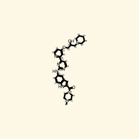 CN1CCN(C(=O)c2cc3cc(Nc4nccc(-c5cc(OCC(O)CN6CCCCC6)ccn5)n4)ccc3[nH]2)CC1